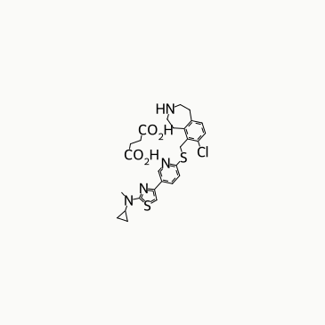 CN(c1nc(-c2ccc(SCc3c(Cl)ccc4c3CCNCC4)nc2)cs1)C1CC1.O=C(O)CCC(=O)O